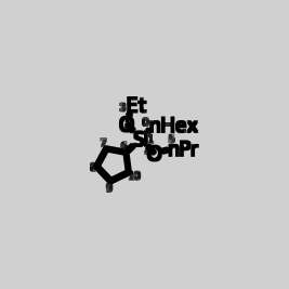 CCCCCC[Si](OCC)(OCCC)C1CCCC1